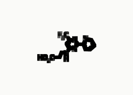 O=C(O)CCNc1cc(C(F)(F)F)nc(-c2ccccn2)n1